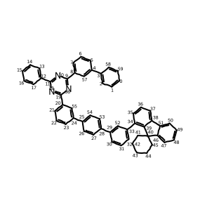 c1ccc(-c2cccc(-c3nc(-c4ccccc4)nc(-c4cccc(-c5ccc(-c6cccc(-c7cccc8c7C7(CCCCC7)c7ccccc7-8)c6)cc5)c4)n3)c2)cc1